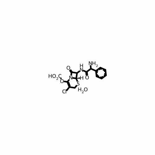 NC(C(=O)NC1C(=O)N2C(OC(=O)O)=C(Cl)CS[C@@H]12)c1ccccc1.O